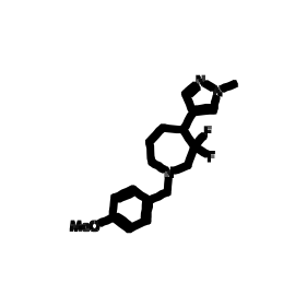 COc1ccc(CN2CCCC(c3cnn(C)c3)C(F)(F)C2)cc1